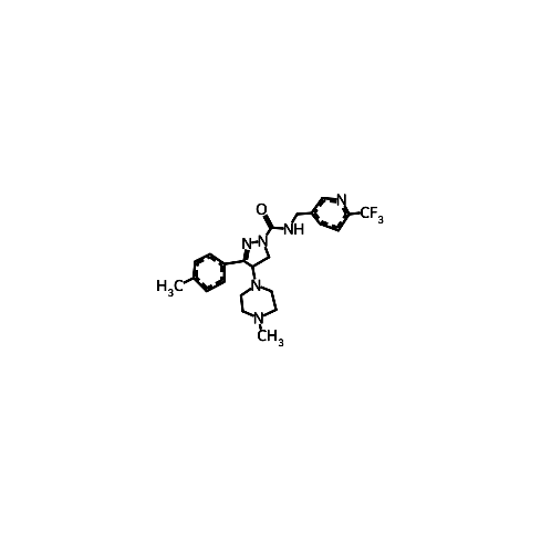 Cc1ccc(C2=NN(C(=O)NCc3ccc(C(F)(F)F)nc3)CC2N2CCN(C)CC2)cc1